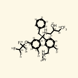 CC(C)NCc1cc([C@@](Cc2ccccc2)(NCC(O)CC(F)(F)F)c2cc(F)cc(OC(F)(F)C(F)F)c2)ccc1F